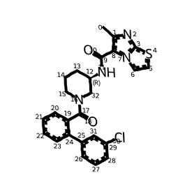 Cc1nc2sccn2c1C(=O)N[C@@H]1CCCN(C(=O)c2ccccc2-c2cccc(Cl)c2)C1